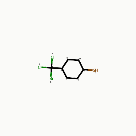 SC1CCC(C(Cl)(Cl)Br)CC1